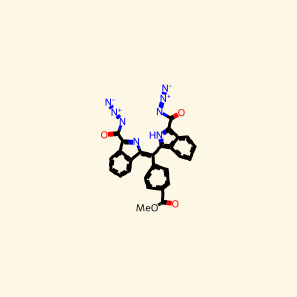 COC(=O)c1ccc(/C(=C2/N=C(C(=O)N=[N+]=[N-])c3ccccc32)c2[nH]c(C(=O)N=[N+]=[N-])c3ccccc23)cc1